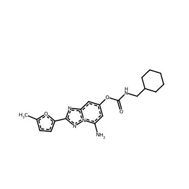 Cc1ccc(-c2nc3cc(OC(=O)NCC4CCCCC4)cc(N)n3n2)o1